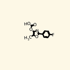 Cc1oc(-c2ccc(F)cc2)nc1OC(=O)O